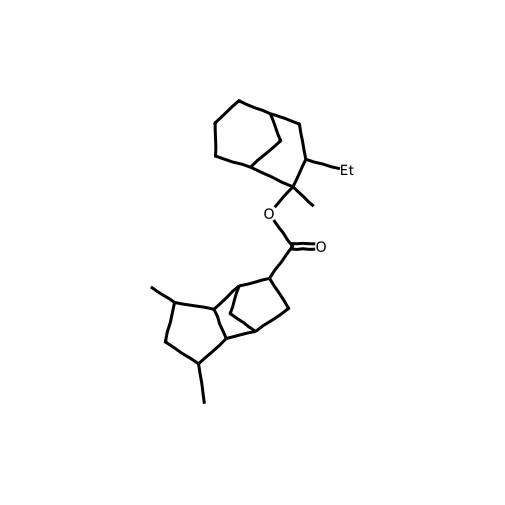 CCC1CC2CCCC(C2)C1(C)OC(=O)C1CC2CC1C1C(C)CC(C)C21